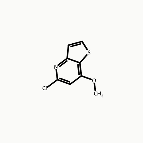 COc1cc(Cl)nc2ccsc12